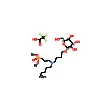 CCCCCCCCCCCCCCN(CCCCO[C@@H]1O[C@H](CO)[C@@H](O)[C@H](O)[C@H]1O)CCCP(=O)(OCC)OCC.O=C(O)C(F)(F)F